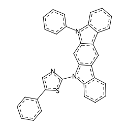 c1ccc(-c2cnc(-n3c4ccccc4c4cc5c6ccccc6n(-c6ccccc6)c5cc43)s2)cc1